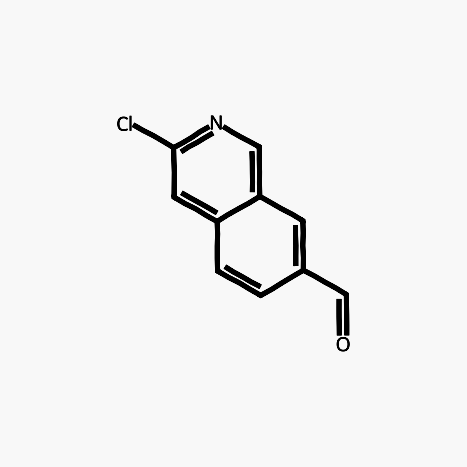 O=Cc1ccc2cc(Cl)ncc2c1